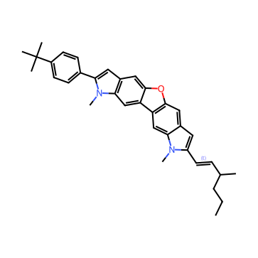 CCCC(C)/C=C/c1cc2cc3oc4cc5cc(-c6ccc(C(C)(C)C)cc6)n(C)c5cc4c3cc2n1C